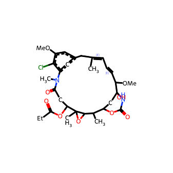 CCC(=O)OC1CC(=O)N(C)c2cc(cc(OC)c2Cl)C/C(C)=C/C=C/C(OC)C2(O)CC(OC(=O)N2)C(C)C2OC12C